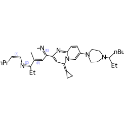 CCC\C=C/N=C(CC)\C(C)=C\C(=N/C)C1=CC(=C2CC2)N2C=C(N3CCN(C(CC)CCCC)CC3)C=CC2=N1